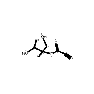 C#CC(=O)OC(C)(CO)C(C)O